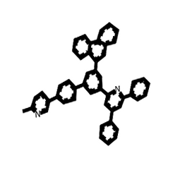 Cc1ccc(-c2ccc(-c3cc(-c4cc(-c5ccccc5)cc(-c5ccccc5)n4)cc(-c4cc5ccccc5c5ccccc45)c3)cc2)cn1